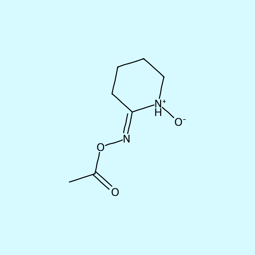 CC(=O)ON=C1CCCC[NH+]1[O-]